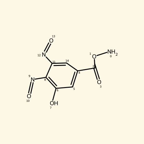 NOC(=O)c1cc(O)c(N=O)c(N=O)c1